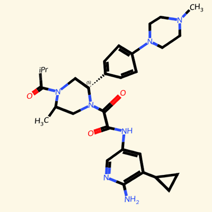 CC(C)C(=O)N1C[C@H](c2ccc(N3CCN(C)CC3)cc2)N(C(=O)C(=O)Nc2cnc(N)c(C3CC3)c2)CC1C